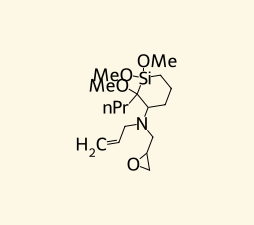 C=CCN(CC1CO1)C1CCC[Si](OC)(OC)C1(CCC)OC